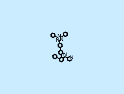 c1ccc(-c2nc(-c3ccccc3)nc(-c3ccc(-c4ccc5c(c4)nc(-c4cccnc4)c4cccc(-c6ccccc6)c45)cc3)n2)cc1